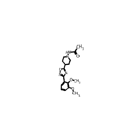 COc1cccc(-c2noc(C3CCN(NC(C)=O)CC3)n2)c1OC